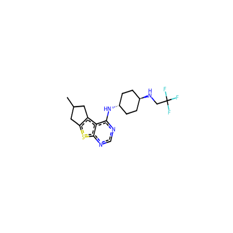 CC1Cc2sc3ncnc(N[C@H]4CC[C@H](NCC(F)(F)F)CC4)c3c2C1